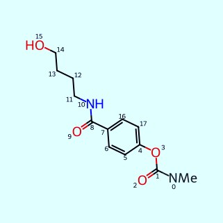 CNC(=O)Oc1ccc(C(=O)NCCCCO)cc1